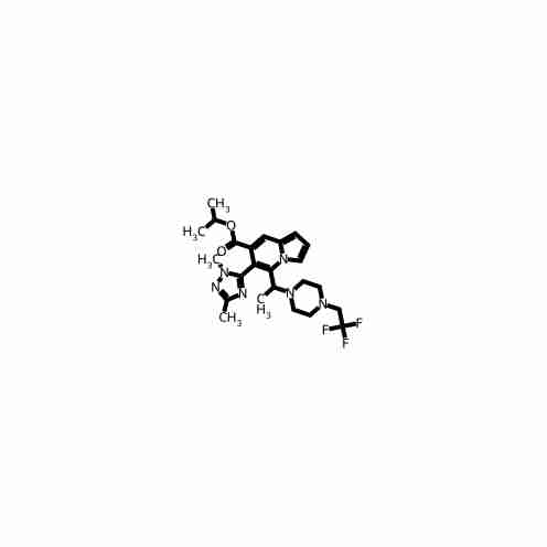 Cc1nc(-c2c(C(=O)OC(C)C)cc3cccn3c2C(C)N2CCN(CC(F)(F)F)CC2)n(C)n1